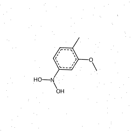 COc1cc(N(O)O)ccc1C